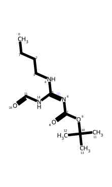 CCCCN/C(=N/C(=O)OC(C)(C)C)NC=O